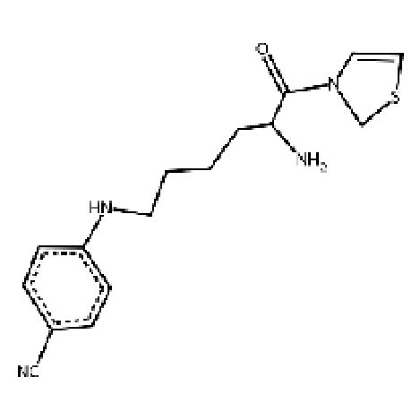 N#Cc1ccc(NCCCCC(N)C(=O)N2C=CSC2)cc1